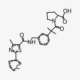 Cc1nc(-c2ccccc2)sc1C(=O)NCc1cccc(C(C)(C)C(=O)N2CCCC2C(=O)O)c1